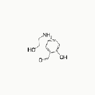 NCCO.O=Cc1ccccc1O